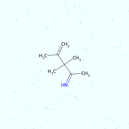 C=C(C)C(C)(C)C(C)=N